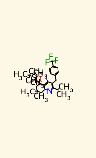 CC(C)c1nc2c(c(I)c1Cc1ccc(C(F)(F)F)cc1)[C@@H](O[Si](C)(C)C(C)(C)C)CC(C)(C)C2